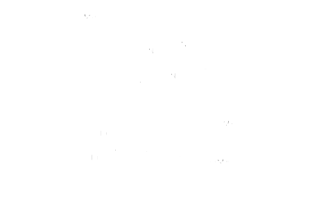 CCC1(CC)c2ccccc2-c2c1c1c(c3cc(OC)c(OC)cc23)OC(c2ccc(OC)cc2)(c2nc(F)nc(F)n2)C=C1